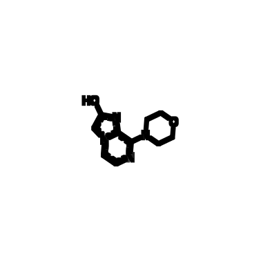 Oc1cn2ccnc(N3CCOCC3)c2n1